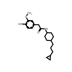 COc1cc(CC(=O)NC2CCC(CCCC3CC3)CC2)ccc1O